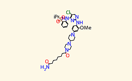 COc1cc(N2CCC(N3CCN(C(=O)CCCCCCC(N)=O)CC3)CC2)ccc1Nc1ncc(Cl)c(Nc2ccccc2S(=O)(=O)C(C)C)n1